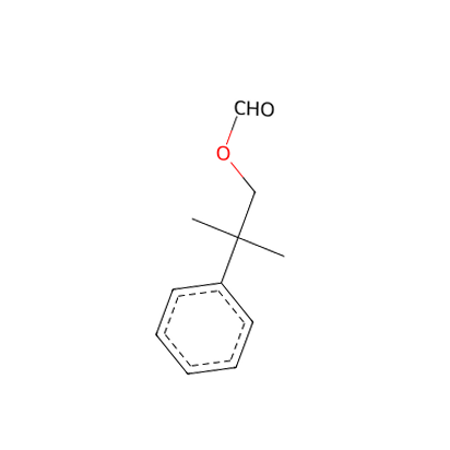 CC(C)(COC=O)c1ccccc1